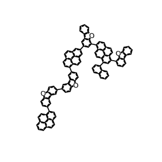 c1ccc2c(-c3cc(-c4cccc5c4oc4ccccc45)c4ccc5ccc(-c6cc(-c7cc8ccc9ccc(-c%10ccc%11oc%12ccc(-c%13ccc%14oc%15ccc(-c%16ccc%17ccc%18cccc%19ccc%16c%17c%18%19)cc%15c%14c%13)cc%12c%11c%10)c%10ccc(c7)c8c9%10)cc7c6oc6ccccc67)c6ccc3c4c56)cccc2c1